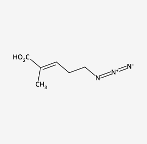 CC(=CCCN=[N+]=[N-])C(=O)O